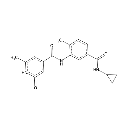 Cc1cc(C(=O)Nc2cc(C(=O)NC3CC3)ccc2C)cc(=O)[nH]1